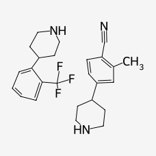 Cc1cc(C2CCNCC2)ccc1C#N.FC(F)(F)c1ccccc1C1CCNCC1